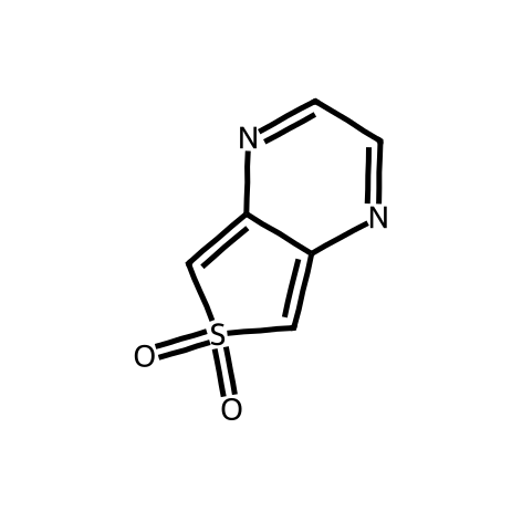 O=S1(=O)C=c2nccnc2=C1